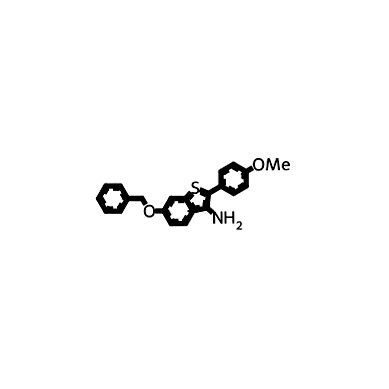 COc1ccc(-c2sc3cc(OCc4ccccc4)ccc3c2N)cc1